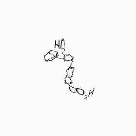 O=C(O)c1ccc2cc(-c3ccc(CCO)c(C45CC6CC(CC(C6)C4)C5)c3)ccc2c1